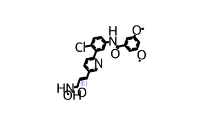 COc1cc(OC)cc(C(=O)Nc2ccc(Cl)c(-c3ccc(/C=C/C(=O)NO)cn3)c2)c1